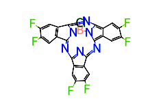 Fc1cc2c(cc1F)/C1=N/c3c4cc(F)c(F)cc4c4n3B(Cl)n3c(c5cc(F)c(F)cc5/c3=N/C2=N1)=N4